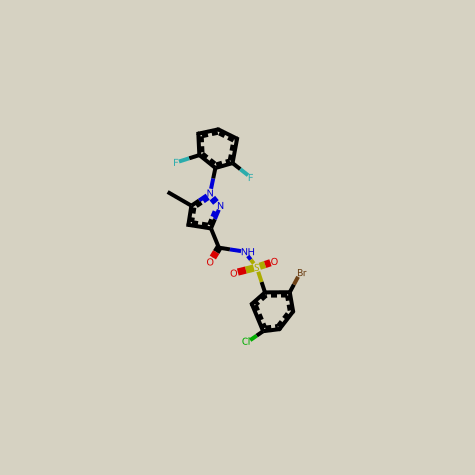 Cc1cc(C(=O)NS(=O)(=O)c2cc(Cl)ccc2Br)nn1-c1c(F)cccc1F